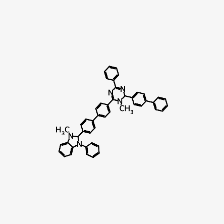 CN1C(c2ccc(-c3ccc(C4N(C)c5ccccc5N4c4ccccc4)cc3)cc2)=NC(c2ccccc2)=NC1c1ccc(-c2ccccc2)cc1